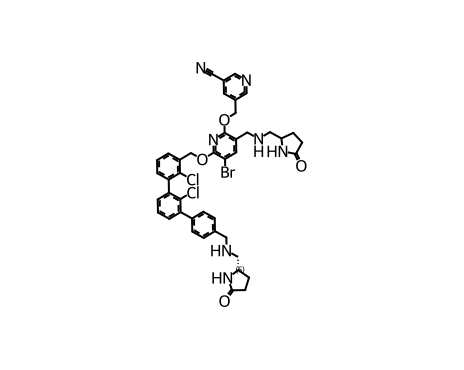 N#Cc1cncc(COc2nc(OCc3cccc(-c4cccc(-c5ccc(CNC[C@@H]6CCC(=O)N6)cc5)c4Cl)c3Cl)c(Br)cc2CNCC2CCC(=O)N2)c1